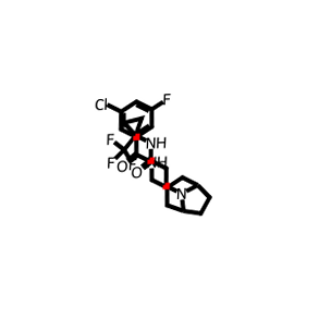 O=C(CCN1C2CCC1CC(CNC(=O)c1cc(F)cc(Cl)c1)C2)NC1(C(F)(F)F)CC1